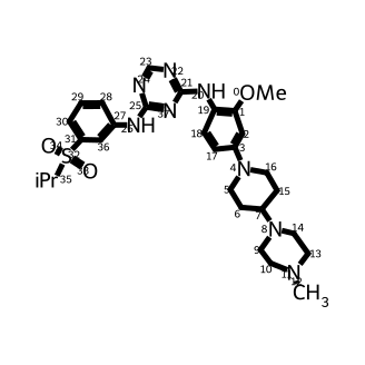 COc1cc(N2CCC(N3CCN(C)CC3)CC2)ccc1Nc1ncnc(Nc2cccc(S(=O)(=O)C(C)C)c2)n1